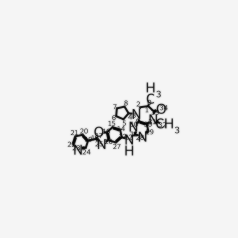 CC1CN(C2CCCC2)c2nc(Nc3ccc4oc(-c5cccnc5)nc4c3)ncc2N(C)C1=O